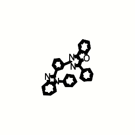 c1ccc(-c2nc(-c3cccc(-c4nc5ccccc5n4-c4ccccc4)c3)nc3c2oc2ccccc23)cc1